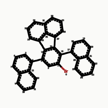 Brc1cc(-c2cccc3ccccc23)c2c(c1-c1cccc3ccccc13)-c1cccc3cccc-2c13